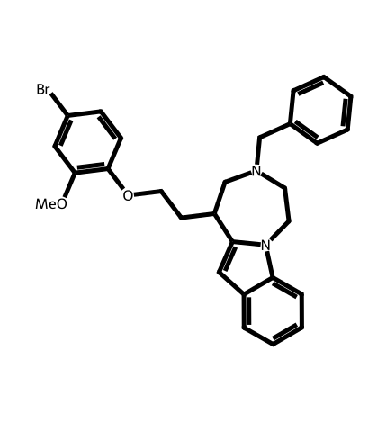 COc1cc(Br)ccc1OCCC1CN(Cc2ccccc2)CCn2c1cc1ccccc12